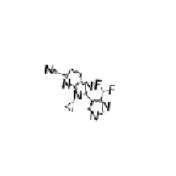 N#Cc1ccc2nc(-c3cncnc3C(F)F)n(C3CC3)c2n1